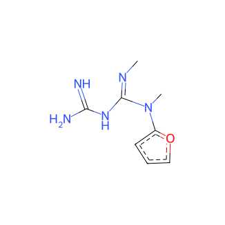 C/N=C(/NC(=N)N)N(C)c1ccco1